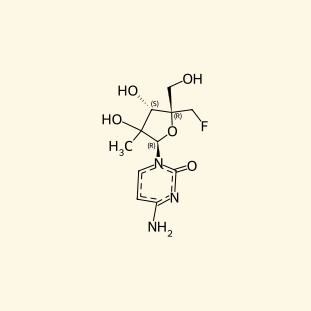 CC1(O)[C@H](n2ccc(N)nc2=O)O[C@@](CO)(CF)[C@H]1O